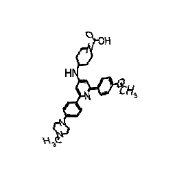 COc1ccc(-c2cc(NC3CCN(C(=O)O)CC3)cc(-c3ccc(N4CCN(C)CC4)cc3)n2)cc1